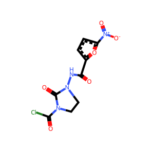 O=C(NN1CCN(C(=O)Cl)C1=O)c1ccc([N+](=O)[O-])o1